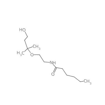 CCCCCC(=O)NCCOC(C)(C)CCO